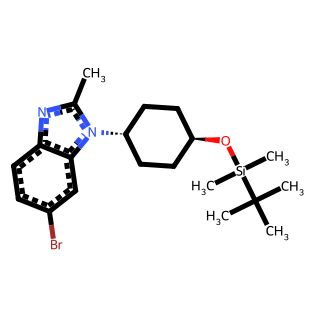 Cc1nc2ccc(Br)cc2n1[C@H]1CC[C@H](O[Si](C)(C)C(C)(C)C)CC1